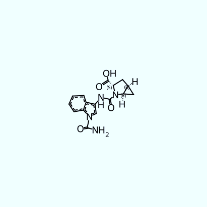 NC(=O)n1cc(NC(=O)N2[C@@H]3C[C@@H]3C[C@H]2C(=O)O)c2ccccc21